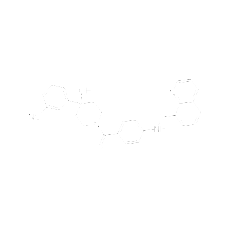 N#Cc1cccc(C2(O)CCN(C(=O)c3ccc(NSc4cccc5cccnc45)cc3)CC2)c1